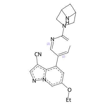 C=C(/N=C\C(=C/C)c1cc(OCC)cn2ncc(C#N)c12)N1CC2CC(C1)N2